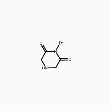 CCN1C(=O)CNCC1=O